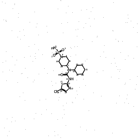 CCCS(=O)(=O)N1CCC(N(C(=O)Nc2ncc(Cl)s2)C2CCCCC2)CC1